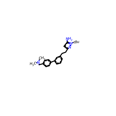 CN(C)Cc1ccc(-c2cccc(CCc3cc(N)n(C(C)(C)C)n3)c2)cc1